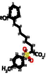 COc1ccccc1CCCCCCC(C(=O)O)S(=O)(=O)c1ccc(C)cc1